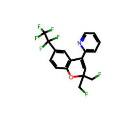 FCC1(CF)C=C(c2ccccn2)c2cc(C(F)(F)C(F)(F)F)ccc2O1